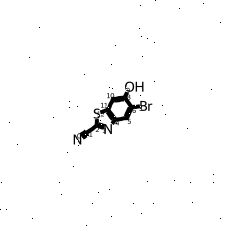 N#Cc1nc2cc(Br)c(O)cc2s1